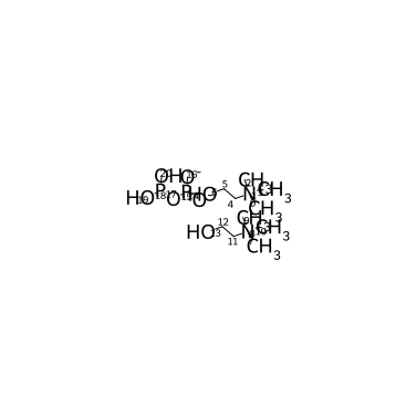 C[N+](C)(C)CCO.C[N+](C)(C)CCO.[O-]P([O-])OP(O)O